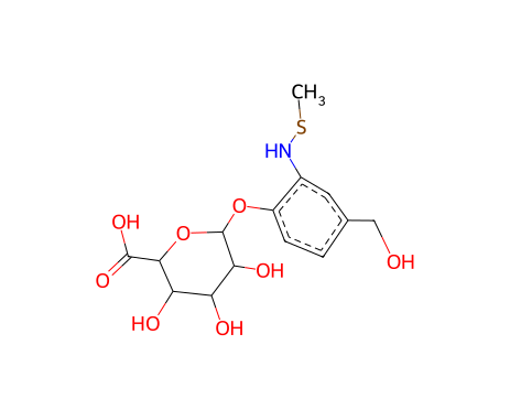 CSNc1cc(CO)ccc1OC1OC(C(=O)O)C(O)C(O)C1O